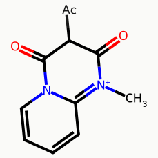 CC(=O)C1C(=O)N2C=CC=CC2=[N+](C)C1=O